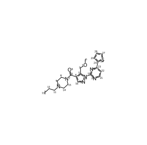 COCc1c(C(=O)N2CCN(CCI)CC2)cnn1-c1nccc(-c2cccs2)n1